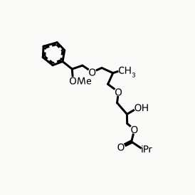 COC(COCC(C)COCC(O)COC(=O)C(C)C)c1ccccc1